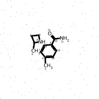 CC1CCN1.Cc1ccc(C(N)=O)cc1